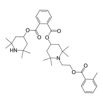 Cc1ccccc1C(=O)OCCN1C(C)(C)CC(OC(=O)c2ccccc2C(=O)OC2CC(C)(C)NC(C)(C)C2)CC1(C)C